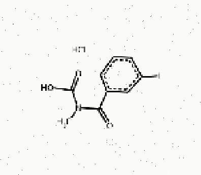 CN(C(=O)O)C(=O)c1cccc(I)c1.Cl